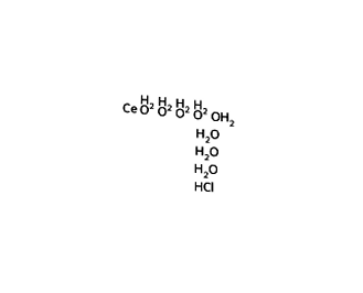 Cl.O.O.O.O.O.O.O.O.[Ce]